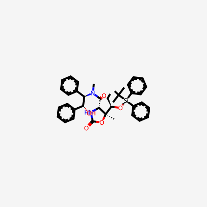 CC[C@@H](O[Si](c1ccccc1)(c1ccccc1)C(C)(C)C)[C@@]1(C)OC(=O)N[C@@H]1C(=O)N(C)[C@H](c1ccccc1)[C@H](O)c1ccccc1